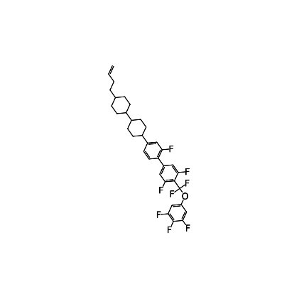 C=CCCC1CCC(C2CCC(c3ccc(-c4cc(F)c(C(F)(F)Oc5cc(F)c(F)c(F)c5)c(F)c4)c(F)c3)CC2)CC1